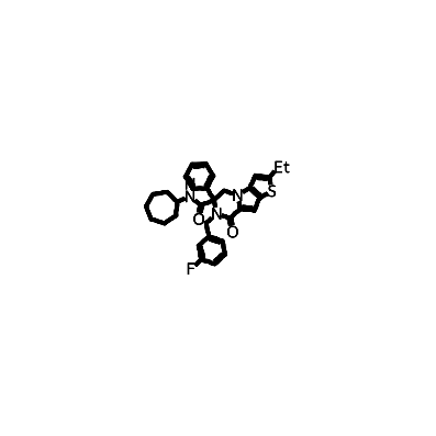 CCc1cc2c(cc3n2CC(C(=O)NC2CCCCCC2)(c2ccccc2)N(Cc2cccc(F)c2)C3=O)s1